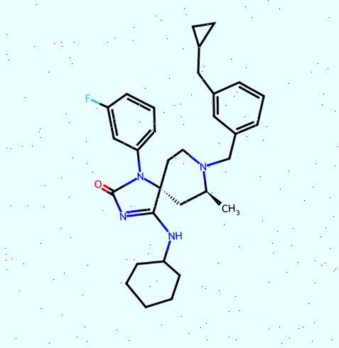 C[C@H]1C[C@]2(CCN1Cc1cccc(CC3CC3)c1)C(NC1CCCCC1)=NC(=O)N2c1cccc(F)c1